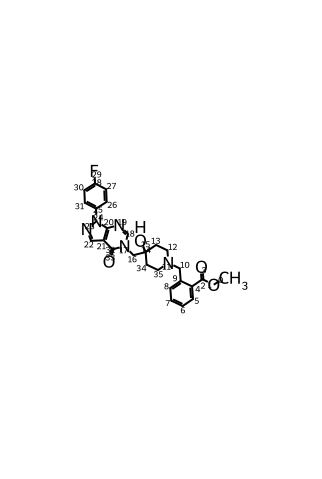 COC(=O)c1ccccc1CN1CCC(O)(Cn2cnc3c(cnn3-c3ccc(F)cc3)c2=O)CC1